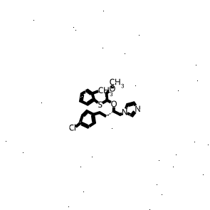 COCC(O[C@@H](CCc1ccc(Cl)cc1)Cn1ccnc1)Sc1ccccc1C